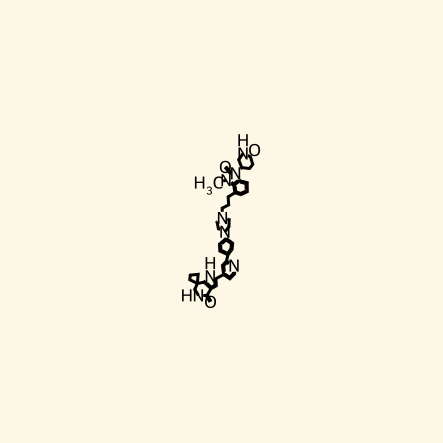 Cn1c(=O)n(C2CCC(=O)NC2)c2cccc(CCCN3CCN(c4ccc(-c5cc(-c6cc7c([nH]6)C6(CCC6)CNC7=O)ccn5)cc4)CC3)c21